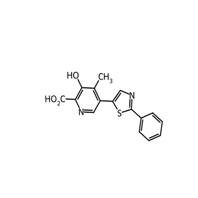 Cc1c(-c2cnc(-c3ccccc3)s2)cnc(C(=O)O)c1O